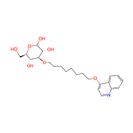 OC[C@H]1OC(O)[C@H](O)[C@@H](OCCCCCCCCOc2ccnc3ccccc23)[C@@H]1O